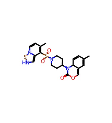 CC1=CC2=COC(=O)N(C3CCN(S(=O)(=O)C4=C(C)C=CN5SNC=C45)CC3)C2C=C1